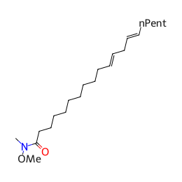 CCCCCC=CCC=CCCCCCCCCCC(=O)N(C)OC